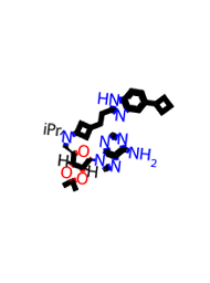 CC(C)N(C[C@H]1O[C@@H](n2cnc3c(N)ncnc32)[C@H]2OC(C)(C)O[C@@H]21)C1CC(CCc2nc3cc(C4CCC4)ccc3[nH]2)C1